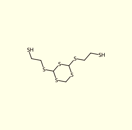 SCCSC1SCSC(SCCS)S1